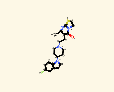 Cc1nc2sccn2c(=O)c1CCN1CCC(n2ccc3cc(F)ccc32)CC1